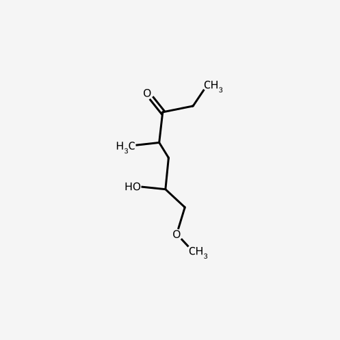 CCC(=O)C(C)CC(O)COC